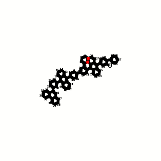 c1ccc(-c2cc(-c3ccc(-c4c5ccccc5c(-c5cccc(-c6cc7ccccc7c7ccccc67)c5)c5ccccc45)cc3)ccc2-c2c3ccccc3c(-c3ccc4c(c3)oc3ccccc34)c3ccccc23)cc1